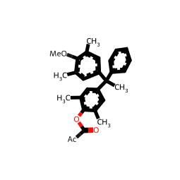 COc1c(C)cc(C(C)(c2ccccc2)c2cc(C)c(OC(=O)C(C)=O)c(C)c2)cc1C